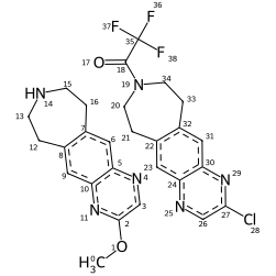 COc1cnc2cc3c(cc2n1)CCNCC3.O=C(N1CCc2cc3ncc(Cl)nc3cc2CC1)C(F)(F)F